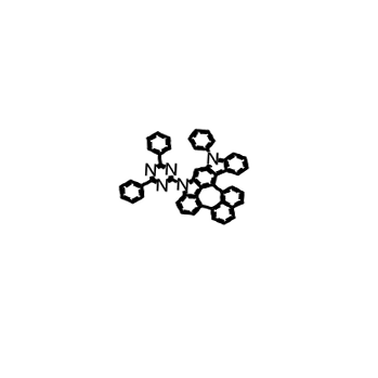 c1ccc(-c2nc(-c3ccccc3)nc(-n3c4cccc5c4c4c(c6c7ccccc7n(-c7ccccc7)c6cc43)-c3cccc4cccc-5c34)n2)cc1